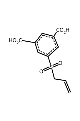 C=CCS(=O)(=O)c1cc(C(=O)O)cc(C(=O)O)c1